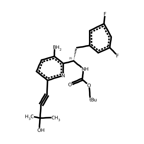 Bc1ccc(C#CC(C)(C)O)nc1[C@H](Cc1cc(F)cc(F)c1)NC(=O)OC(C)(C)C